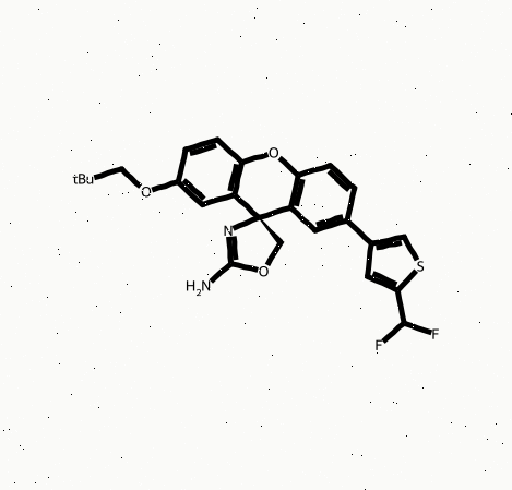 CC(C)(C)COc1ccc2c(c1)[C@]1(COC(N)=N1)c1cc(-c3csc(C(F)F)c3)ccc1O2